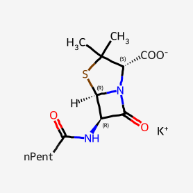 CCCCCC(=O)N[C@@H]1C(=O)N2[C@@H]1SC(C)(C)[C@@H]2C(=O)[O-].[K+]